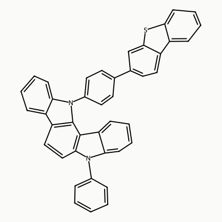 c1ccc(-n2c3ccccc3c3c2ccc2c4ccccc4n(-c4ccc(-c5ccc6c(c5)sc5ccccc56)cc4)c23)cc1